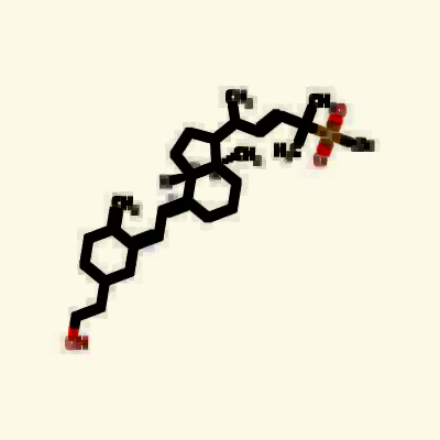 C=C1CCC(CCO)C/C1=C/C=C1\CCC[C@]2(C)C(C(C)C=CC(C)(C)S(=O)(=O)C(C)(C)C)CC[C@@H]12